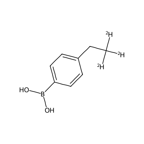 [2H]C([2H])([2H])Cc1ccc(B(O)O)cc1